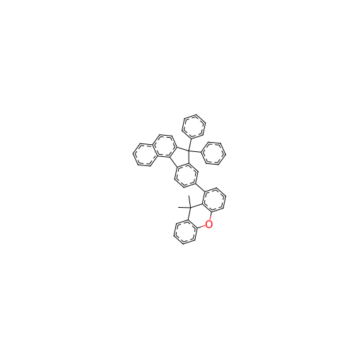 CC1(C)c2ccccc2Oc2cccc(-c3ccc4c(c3)C(c3ccccc3)(c3ccccc3)c3ccc5ccccc5c3-4)c21